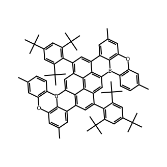 Cc1ccc2c(c1)Oc1cc(C)cc3c1B2c1cc2c(-c4c(C(C)(C)C)cc(C(C)(C)C)cc4C(C)(C)C)cc4c5c(cc6c(-c7c(C(C)(C)C)cc(C(C)(C)C)cc7C(C)(C)C)cc-3c1c6c25)B1c2ccc(C)cc2Oc2cc(C)cc-4c21